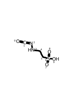 O=C=NNCCS(=O)(=O)O